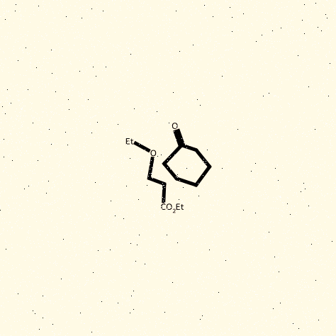 CCOCCC(=O)OCC.O=C1CCCCC1